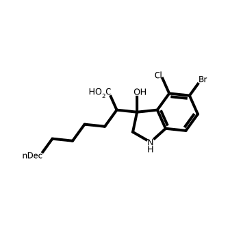 CCCCCCCCCCCCCCC(C(=O)O)C1(O)CNc2ccc(Br)c(Cl)c21